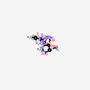 Cc1cc(C(C)(C)C)cc(O)c1-c1nc(C)c(C(=O)N[C@@H](CNS(N)(=O)=O)C(=O)N(C)[C@@H]2C(=O)N[C@@H](C)C(=O)N[C@H](C(=O)O)Cc3ccc(OC[C@H](O)CN)c(c3)-c3cc2cc(OC[C@H](O)CN)c3O)c(N)n1